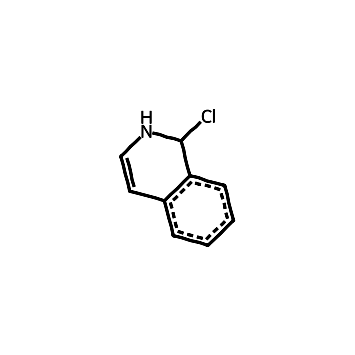 ClC1NC=Cc2ccccc21